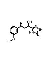 CCOc1cccc(NCC(O)c2n[nH]c(=S)[nH]2)c1